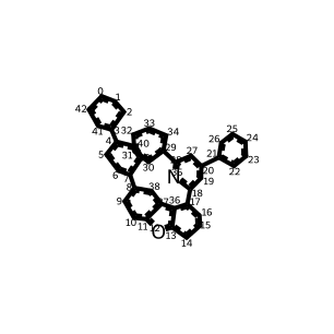 c1ccc(-c2ccc(-c3ccc4oc5cccc(-c6cc(-c7ccccc7)cc(-c7ccccc7)n6)c5c4c3)cc2)cc1